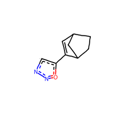 [c]1nnoc1C1=CC2CCC1C2